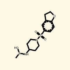 CB(O)NC1CCN(S(=O)(=O)c2ccc3c(c2)CCO3)CC1